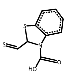 O=C(O)N1c2ccccc2SC1C=S